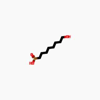 O=S(O)CCCCCCCCO